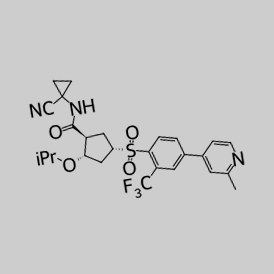 Cc1cc(-c2ccc(S(=O)(=O)[C@@H]3C[C@H](OC(C)C)[C@@H](C(=O)NC4(C#N)CC4)C3)c(C(F)(F)F)c2)ccn1